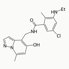 CCNc1cc(Cl)cc(C(=O)NCc2c(O)cc(C)n3nccc23)c1C